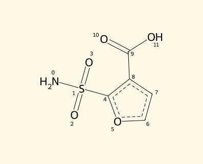 NS(=O)(=O)c1occc1C(=O)O